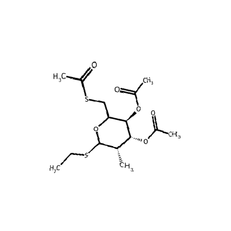 CCSC1OC(CSC(C)=O)[C@@H](OC(C)=O)[C@H](OC(C)=O)[C@@H]1C